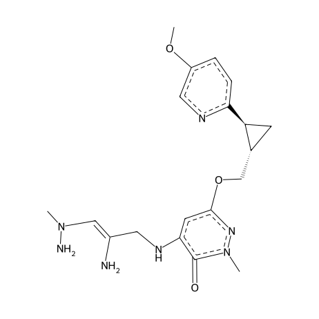 COc1ccc([C@H]2C[C@@H]2COc2cc(NC/C(N)=C/N(C)N)c(=O)n(C)n2)nc1